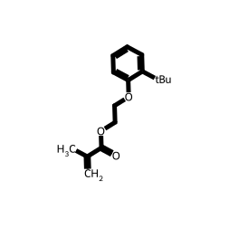 C=C(C)C(=O)OCCOc1ccccc1C(C)(C)C